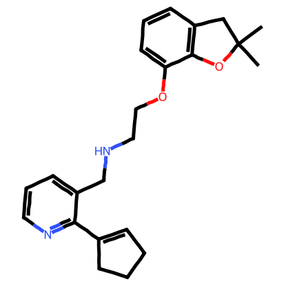 CC1(C)Cc2cccc(OCCNCc3cccnc3C3=CCCC3)c2O1